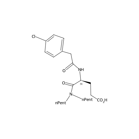 CCCCCN(CCCCC)C(=O)[C@H](CCC(=O)O)NC(=O)Cc1ccc(Cl)cc1